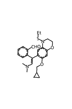 CCSN1CCOc2cc(OCC3CC3)c(/C(=C/N(C)C)c3ccccc3C=O)cc21